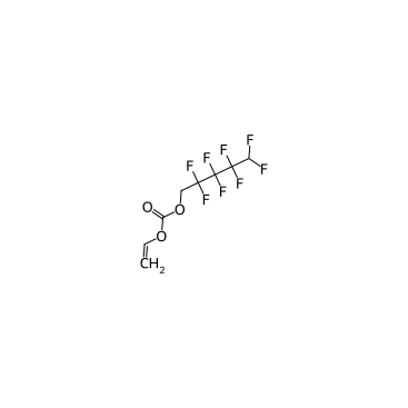 C=COC(=O)OCC(F)(F)C(F)(F)C(F)(F)C(F)F